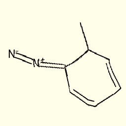 CC1C=CC=CC1=[N+]=[N-]